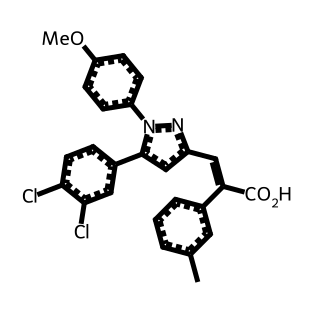 COc1ccc(-n2nc(C=C(C(=O)O)c3cccc(C)c3)cc2-c2ccc(Cl)c(Cl)c2)cc1